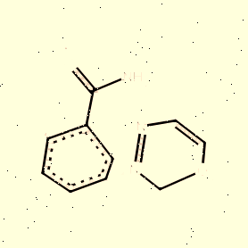 C1=COCN=N1.NC(=O)c1ccccc1